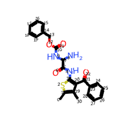 Cc1sc(NC(=O)C(N)NC(=O)OCc2ccccc2)c(C(=O)c2ccccc2)c1C